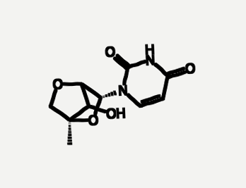 C[C@]12COC(C1O)[C@H](n1ccc(=O)[nH]c1=O)O2